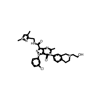 Cc1cn(C)nc1CNC(=O)c1nn(-c2cccc(Cl)c2)c2c(=O)n(-c3ccc4c(c3)CN(CCO)CC4)c(C)nc12